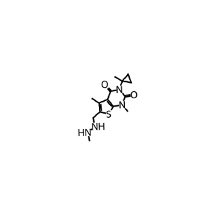 CNNCc1sc2c(c1C)c(=O)n(C1(C)CC1)c(=O)n2C